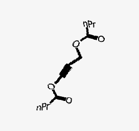 CCCC(=O)OC#CCOC(=O)CCC